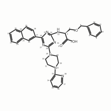 O=C(O)[C@H](COCc1ccccc1)Nc1nc(-c2ccc3ccccc3c2)nc(N2CCN(c3ccccn3)CC2)n1